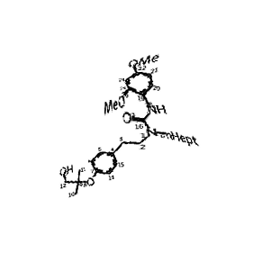 CCCCCCCN(CCc1ccc(OC(C)(C)CO)cc1)C(=O)Nc1ccc(OC)cc1OC